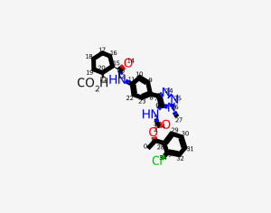 CC(OC(=O)Nc1c(-c2ccc(NC(=O)[C@H]3CCCC[C@@H]3C(=O)O)cc2)nnn1C)c1ccccc1Cl